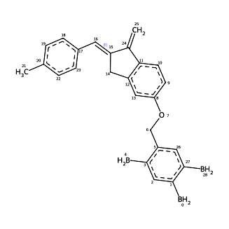 Bc1cc(B)c(COc2ccc3c(c2)C/C(=C\c2ccc(C)cc2)C3=C)cc1B